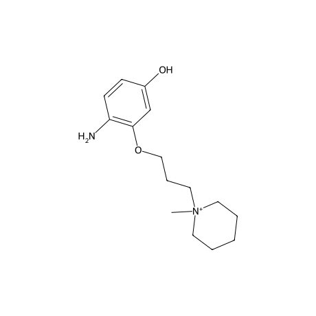 C[N+]1(CCCOc2cc(O)ccc2N)CCCCC1